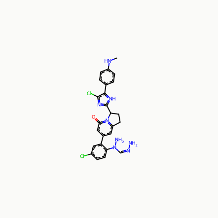 CNc1ccc(-c2[nH]c(C3CCc4cc(-c5cc(Cl)ccc5N(N)/C=N\N)cc(=O)n43)nc2Cl)cc1